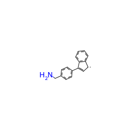 NCc1ccc(C2=C[CH]c3ccccc32)cc1